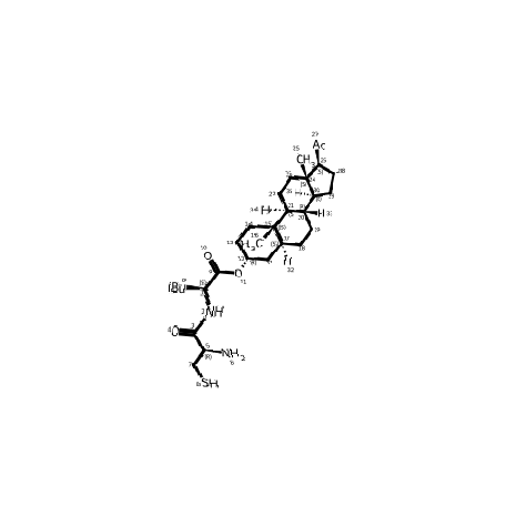 CCC(C)[C@H](NC(=O)[C@@H](N)CS)C(=O)O[C@@H]1CC[C@@]2(C)[C@@H](CC[C@@H]3[C@@H]2CC[C@]2(C)[C@@H](C(C)=O)CC[C@@H]32)C1